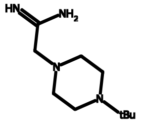 CC(C)(C)N1CCN(CC(=N)N)CC1